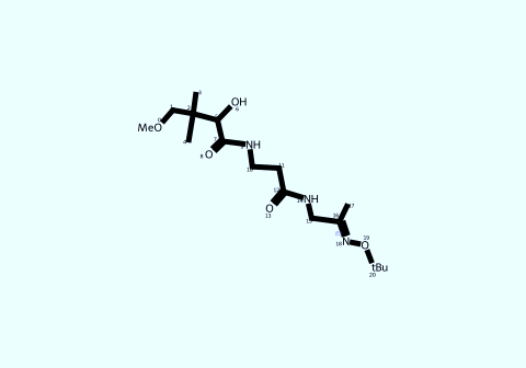 COCC(C)(C)C(O)C(=O)NCCC(=O)NC/C(C)=N/OC(C)(C)C